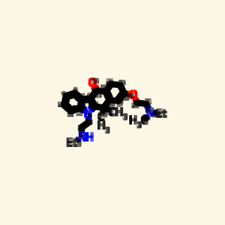 CCNCCn1c2c(c3ccccc31)C(=O)C1=C(C=C(OCCN(C)CC)CC1)C2(C)C